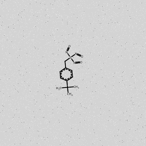 CC(C)(C)c1ccc(CS(N=O)(N=O)N=O)cc1